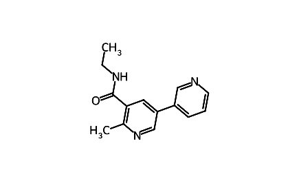 CCNC(=O)c1cc(-c2cccnc2)cnc1C